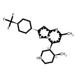 Cc1cc([C@@H]2CNCC[C@@H]2C)n2nc([C@H]3CC[C@H](C(F)(F)F)CC3)cc2n1